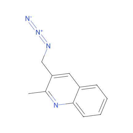 Cc1nc2ccccc2cc1CN=[N+]=[N-]